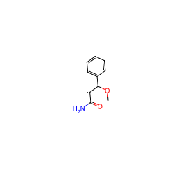 COC([CH]C(N)=O)c1ccccc1